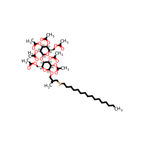 C=C(CO[C@H]1O[C@H](COC(C)=O)[C@H](O[C@@H]2O[C@H](COC(C)=O)[C@H](OC(C)=O)[C@H](OC(C)=O)[C@H]2OC(C)=O)[C@H](OC(C)=O)[C@H]1OC(C)=O)CSCCCCCCCCCCCCCCCC